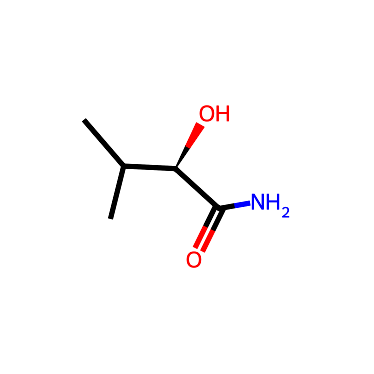 CC(C)[C@@H](O)C(N)=O